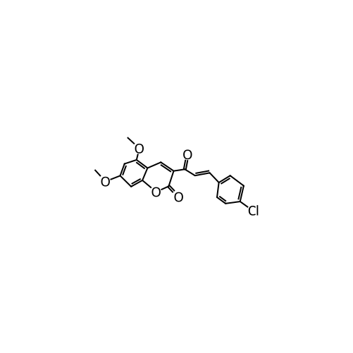 COc1cc(OC)c2cc(C(=O)C=Cc3ccc(Cl)cc3)c(=O)oc2c1